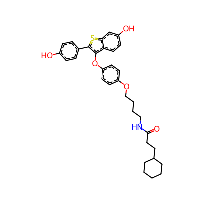 O=C(CCC1CCCCC1)NCCCCOc1ccc(Oc2c(-c3ccc(O)cc3)sc3cc(O)ccc23)cc1